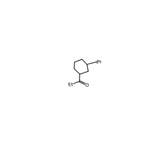 CCC(=O)C1CCCC(C(C)C)C1